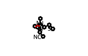 N#Cc1ccccc1-c1ccc2c3ccccc3n(-c3ccc(-c4cccc5c4sc4ccccc45)cc3-c3nc(-c4ccccc4)nc(-c4ccccc4)n3)c2c1